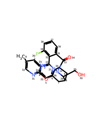 Cc1ccc(OC2CC3CCC2N(C(=O)c2cccc(F)c2-c2ncccn2)C3CO)nc1